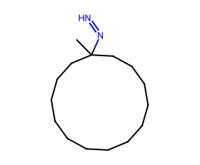 CC1(N=N)CCCCCCCCCCCCC1